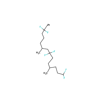 CC(CCC(F)F)CCC(F)(F)CC(C)CCCC(F)(F)C(C)C